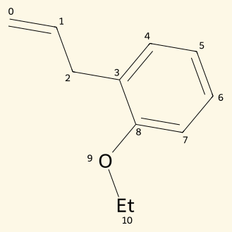 C=CCc1ccccc1OCC